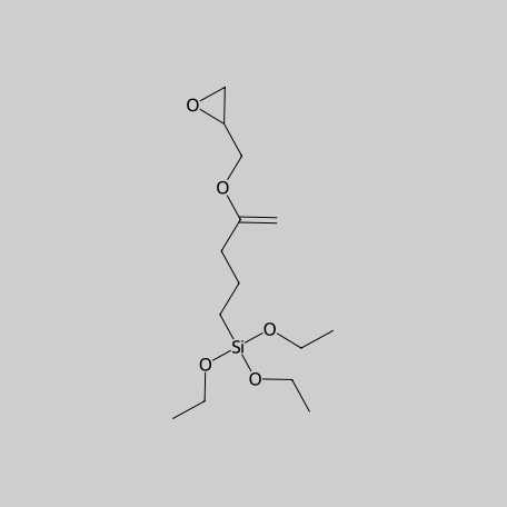 C=C(CCC[Si](OCC)(OCC)OCC)OCC1CO1